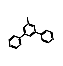 Cc1cc(-c2ccncc2)cc(-c2ccncc2)c1